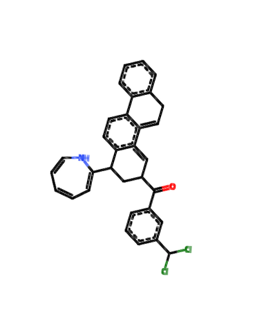 O=C(c1cccc(C(Cl)Cl)c1)C1C=c2c(ccc3c2=CCc2ccccc2-3)C(C2=CC=CC=CN2)C1